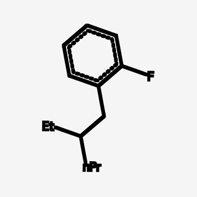 CCCC(CC)Cc1ccccc1F